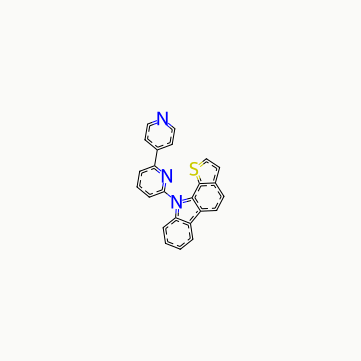 c1cc(-c2ccncc2)nc(-n2c3ccccc3c3ccc4ccsc4c32)c1